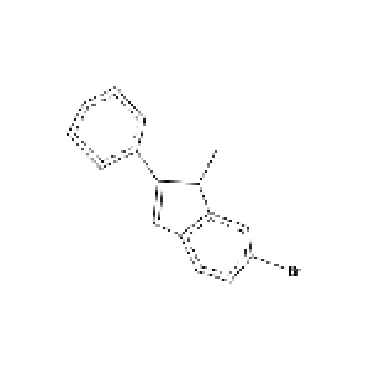 CC1C(c2ccccc2)=Cc2ccc(Br)cc21